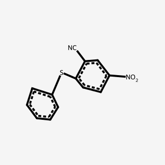 N#Cc1cc([N+](=O)[O-])ccc1Sc1ccccc1